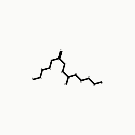 C=C(CCCCC)CCC(C)CCCCC